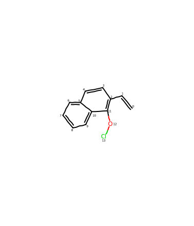 C=Cc1ccc2ccccc2c1OCl